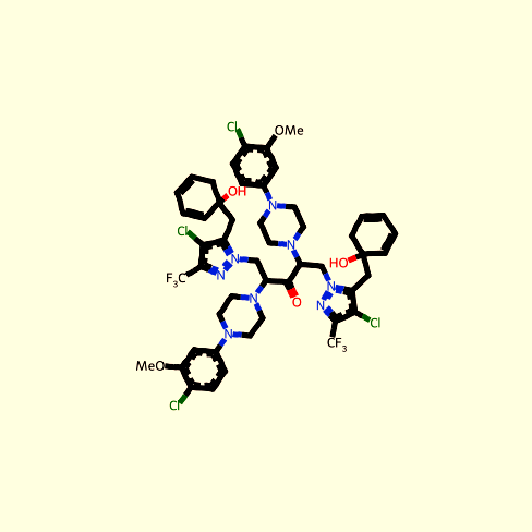 COc1cc(N2CCN(C(Cn3nc(C(F)(F)F)c(Cl)c3CC3(O)C=CC=CC3)C(=O)C(Cn3nc(C(F)(F)F)c(Cl)c3CC3(O)C=CC=CC3)N3CCN(c4ccc(Cl)c(OC)c4)CC3)CC2)ccc1Cl